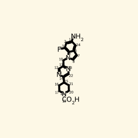 Nc1cc(F)c2c(ccn2Cc2cnc(C3CCN(C(=O)O)CC3)cn2)c1